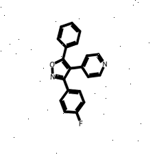 Fc1ccc(-c2noc(-c3ccccc3)c2-c2ccncc2)cc1